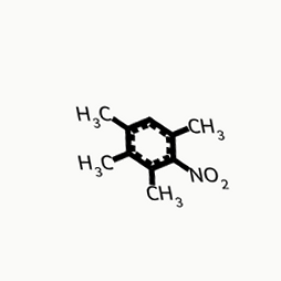 Cc1cc(C)c([N+](=O)[O-])c(C)c1C